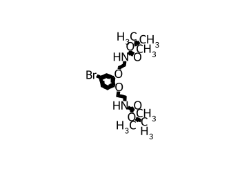 CC(C)(C)OC(=O)NCCOc1ccc(Br)cc1OCCNC(=O)OC(C)(C)C